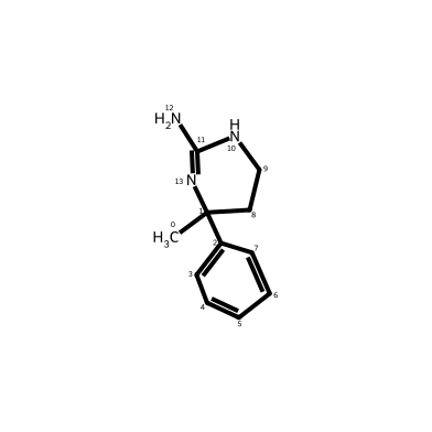 CC1(c2ccccc2)CCNC(N)=N1